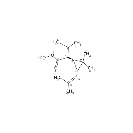 COC(=O)C(C(C)C)[C@@H]1[C@@H](C=C(C)C)C1(C)C